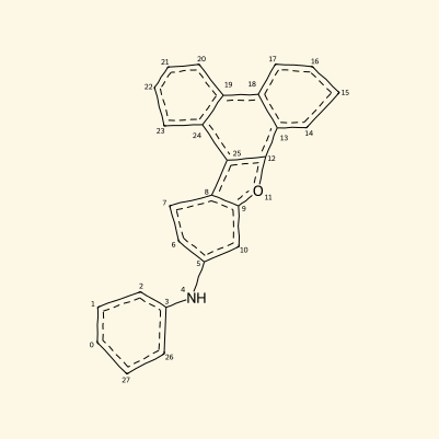 c1ccc(Nc2ccc3c(c2)oc2c4ccccc4c4ccccc4c32)cc1